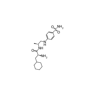 C[C@@H](CNc1ccc(S(N)(=O)=O)cc1)NC(=O)[C@@H](N)CC1CCCCC1